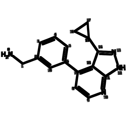 NCc1cccc(-c2ccnc3[nH]nc(C4CC4)c23)c1